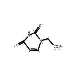 CCOC(=O)Cn1ccc(=O)[nH]c1=O